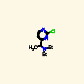 CCN(CC)C(C)c1ccnc(Cl)n1